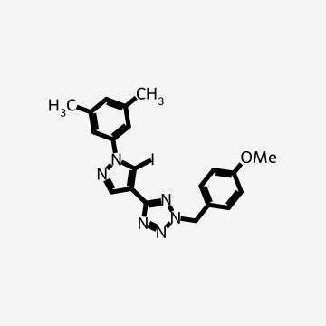 COc1ccc(Cn2nnc(-c3cnn(-c4cc(C)cc(C)c4)c3I)n2)cc1